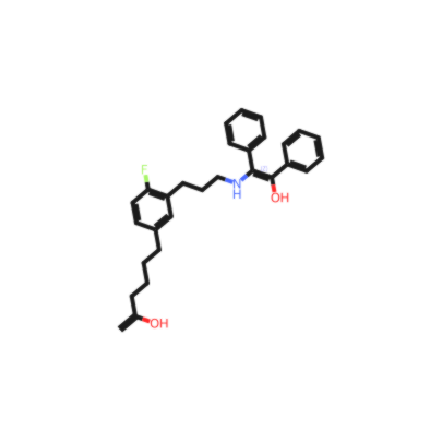 C=C(O)CCCCc1ccc(F)c(CCCN/C(=C(\O)c2ccccc2)c2ccccc2)c1